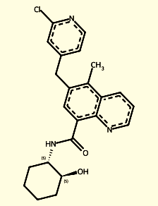 Cc1c(Cc2ccnc(Cl)c2)cc(C(=O)N[C@H]2CCCC[C@@H]2O)c2ncccc12